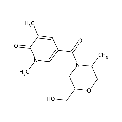 Cc1cc(C(=O)N2CC(CO)OCC2C)cn(C)c1=O